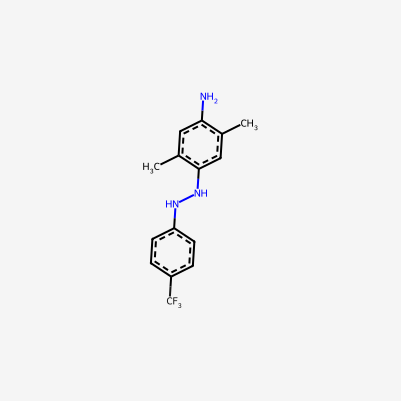 Cc1cc(NNc2ccc(C(F)(F)F)cc2)c(C)cc1N